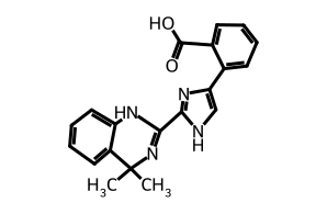 CC1(C)N=C(c2nc(-c3ccccc3C(=O)O)c[nH]2)Nc2ccccc21